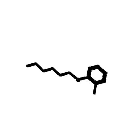 CCCCCCOc1cc[c]cc1C